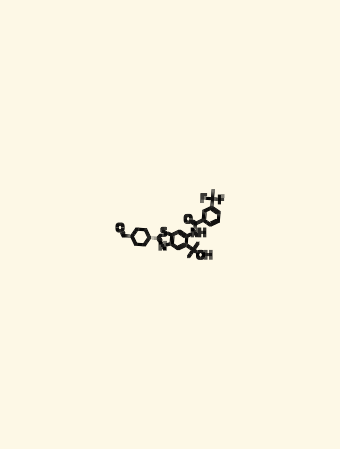 CC(C)(O)c1cc2nc([C@H]3CC[C@H](C=O)CC3)sc2cc1NC(=O)c1cccc(C(C)(F)F)c1